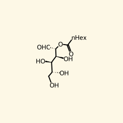 CCCCCCC(=O)O[C@@H](C=O)[C@@H](O)[C@H](O)[C@H](O)CO